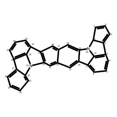 C1=CC2C(=C1)c1cccc3c4cc5cc6c(cc5cc4n2c13)c1cccc2c3ccccc3n6c21